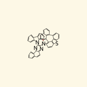 c1ccc2c(c1)ccc1nc(-n3c4ccc5cccc6c5c4c4c5c(ccc43)sc3cccc-6c35)c(-n3c4ccccc4c4ccccc43)nc12